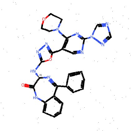 O=C1Nc2ccccc2C(c2ccccc2)=N[C@@H]1Nc1nnc(-c2cnc(-n3cncn3)nc2N2CCOCC2)o1